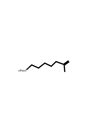 C=C(C)CCCCCCCCCC